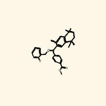 COC(=O)c1ccc(C(OCc2ccccc2F)c2cc3c(cc2C)C(C)(C)CCC3(C)C)cc1